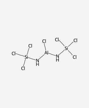 [Cl][Al]([NH][Si](Cl)(Cl)Cl)[NH][Si](Cl)(Cl)Cl